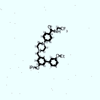 CCOc1cccc(-c2cc(CN3CCN(c4ccc(C(=O)NCC(F)(F)F)cc4)CC3)cc(OC(C)C)c2)c1